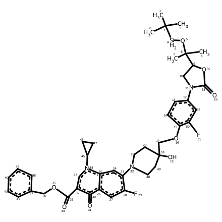 CC(C)(C)[SiH2]OC(C)(C)C1CN(c2ccc(OCC3(O)CCN(c4cc5c(cc4F)c(=O)c(C(=O)OCc4ccccc4)cn5C4CC4)CC3)c(F)c2)C(=O)O1